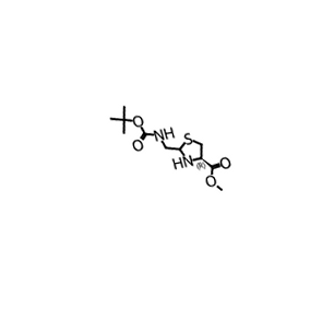 COC(=O)[C@@H]1CSC(CNC(=O)OC(C)(C)C)N1